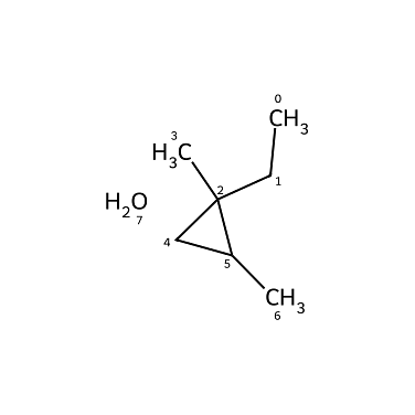 CCC1(C)CC1C.O